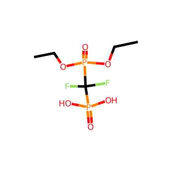 CCOP(=O)(OCC)C(F)(F)P(=O)(O)O